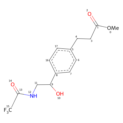 COC(=O)CCc1ccc(C(O)CNC(=O)C(F)(F)F)cc1